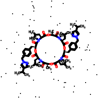 CC(C)C[C@H]1C(=O)O[C@H](Cc2ccc(Cn3cc(C(C)C)cn3)cc2)C(=O)N(C)[C@@H](CC(C)C)C(=O)O[C@H](C)C(=O)N(C)[C@@H](CC(C)C)C(=O)O[C@H](Cc2ccc(Cn3cc(C(C)C)cn3)cc2)C(=O)N(C)[C@@H](CC(C)C)C(=O)O[C@H](C)C(=O)N1C